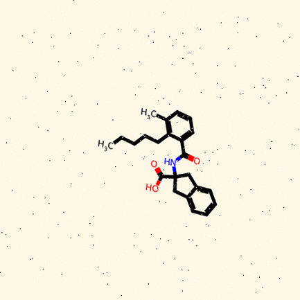 CCCCCc1c(C)cccc1C(=O)NC1(C(=O)O)Cc2ccccc2C1